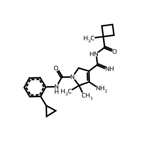 CC1(C(=O)NC(=N)C2=C(N)C(C)(C)N(C(=O)Nc3ccccc3C3CC3)C2)CCC1